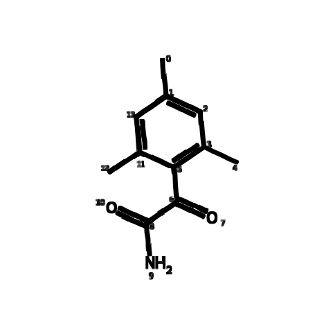 Cc1cc(C)c(C(=O)C(N)=O)c(C)c1